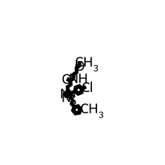 COCCCNC(=O)CCc1nnc(SCc2cccc(C)c2)n1-c1ccc(Cl)cc1